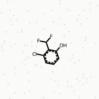 Oc1cccc(Cl)c1C(F)F